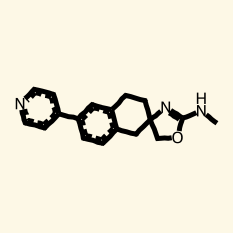 CNC1=NC2(CCc3cc(-c4ccncc4)ccc3C2)CO1